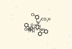 COc1ccccc1NC(=O)Nc1nc(Nc2ccccc2-c2ccccc2)nc(N(CCC(=O)O)Cc2cccc(Cl)c2)n1